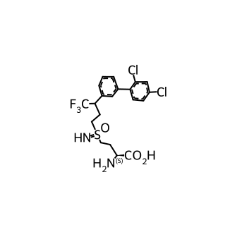 N=S(=O)(CCC(c1cccc(-c2ccc(Cl)cc2Cl)c1)C(F)(F)F)CC[C@H](N)C(=O)O